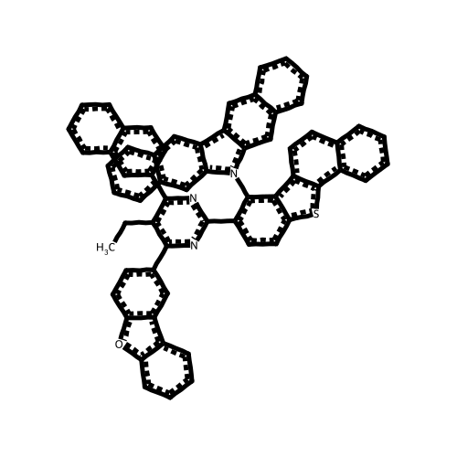 CCc1c(-c2ccc3ccccc3c2)nc(-c2ccc3sc4c5ccccc5ccc4c3c2-n2c3cc4ccccc4cc3c3cc4ccccc4cc32)nc1-c1ccc2oc3ccccc3c2c1